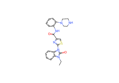 CCn1c(=O)n(-c2nc(C(=O)Nc3ccccc3N3CCNCC3)cs2)c2ccccc21